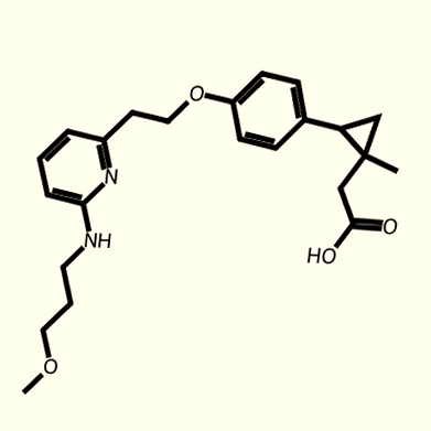 COCCCNc1cccc(CCOc2ccc(C3CC3(C)CC(=O)O)cc2)n1